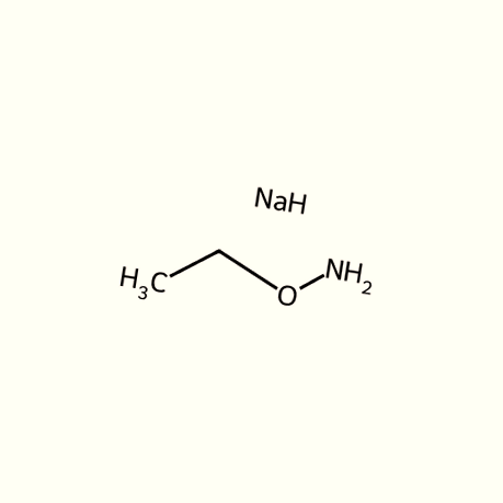 CCON.[NaH]